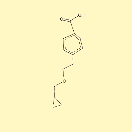 O=C(O)c1ccc(CCOCC2CC2)cc1